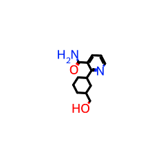 NC(=O)c1cccnc1C1CCCC(CO)C1